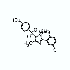 COc1ccc(Cl)cc1-c1nc(C)c(S(=O)(=O)c2ccc(C(C)(C)C)cc2)n1C